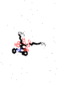 CCCCCC(=O)OC[C@H]1OC(O)[C@H](N(Cc2ccccc2)Cc2ccccc2)[C@@H](O)[C@@]1(O)C(=O)CCCCC